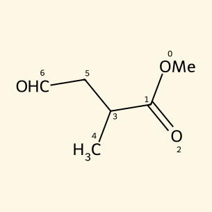 COC(=O)C(C)CC=O